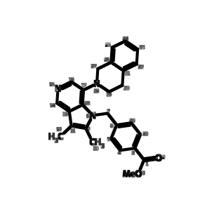 COC(=O)c1ccc(Cn2c(C)c(C)c3cncc(N4CCc5ccccc5C4)c32)cc1